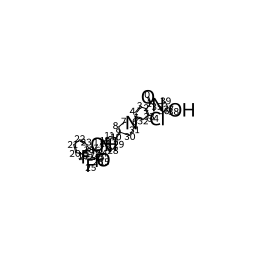 O=C(c1ccc(N2CCC(C3CCN(C(=O)C(O)(c4ccccc4)C(F)(F)F)CC3)CC2)cc1Cl)N1CC(O)C1